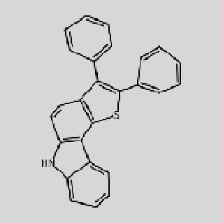 c1ccc(-c2sc3c(ccc4[nH]c5ccccc5c43)c2-c2ccccc2)cc1